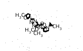 CC(C)Oc1nc2nc([C@@]34CC[C@@](C)(C3)OC4)cn2cc1C(=O)Nc1cccn([C@@H]2C[C@H]2C)c1=O